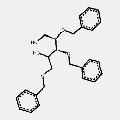 OC[C@@H](OCc1ccccc1)[C@@H](OCc1ccccc1)C(O)COCc1ccccc1